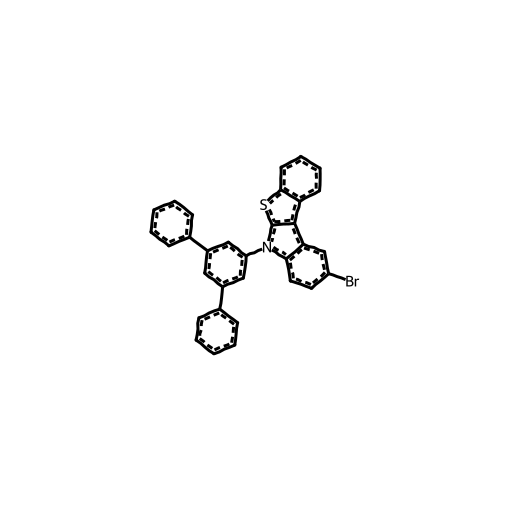 Brc1ccc2c(c1)c1c3ccccc3sc1n2-c1cc(-c2ccccc2)cc(-c2ccccc2)c1